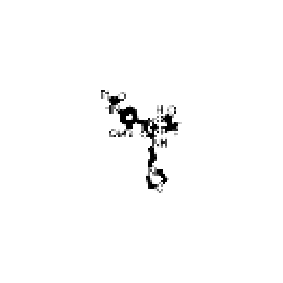 CCC(=O)Nc1ccc(-c2nnc(NCCCN3CCOCC3)o2)c(OC)c1.O=C(O)C(F)(F)F